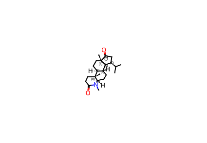 CC(C)[C@@H]1CC(=O)[C@@]2(C)CC[C@H]3[C@@H](CC[C@H]4N(C)C(=O)CC[C@]34C)[C@H]12